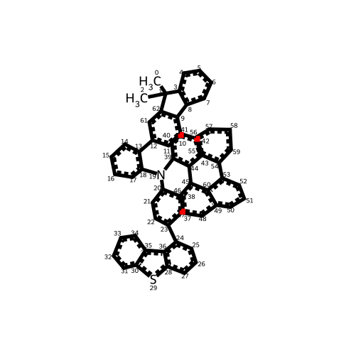 CC1(C)c2ccccc2-c2ccc(-c3ccccc3N(c3ccc(-c4cccc5sc6ccccc6c45)cc3)c3ccccc3-c3cccc4cccc(-c5ccccc5)c34)cc21